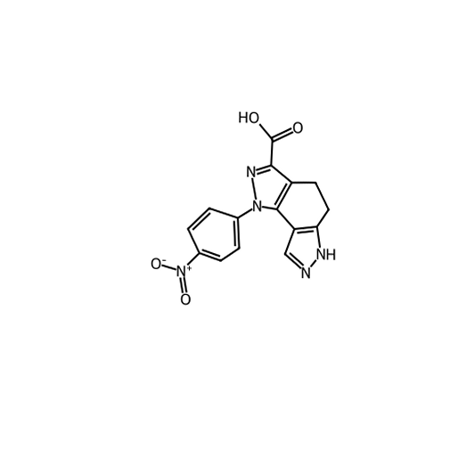 O=C(O)c1nn(-c2ccc([N+](=O)[O-])cc2)c2c1CCc1[nH]ncc1-2